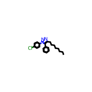 CCCCCCCCc1nnn(-c2ccc(Cl)cc2)c1-c1ccccc1